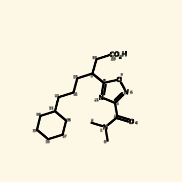 CN(C)C(=O)c1noc(C(CCCC2CCCCC2)CC(=O)O)n1